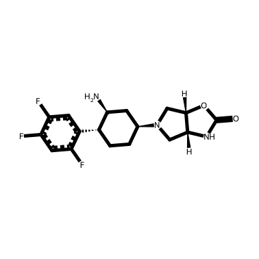 N[C@H]1C[C@@H](N2C[C@@H]3OC(=O)N[C@@H]3C2)CC[C@@H]1c1cc(F)c(F)cc1F